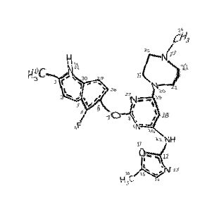 Cc1cc2c(F)c(Oc3nc(Nc4ncc(C)o4)cc(N4CCN(C)CC4)n3)ccc2[nH]1